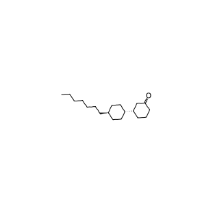 CCCCCCC[C@H]1CC[C@H](C2CCCC(=O)C2)CC1